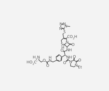 CCN1CCN(C(=O)N[C@H](C(=O)N[C@@H]2C(=O)N3C(C(=O)O)=C(CSc4nnnn4C)CS[C@@H]23)c2ccc(CNC(=O)OC[C@@H](N)C(=O)O)cc2)C(=O)C1=O